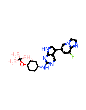 BC(B)(B)O[C@H]1CC[C@@H](Nc2ncc3c(-c4cc(F)c5nccn5c4)c[nH]c3n2)CC1